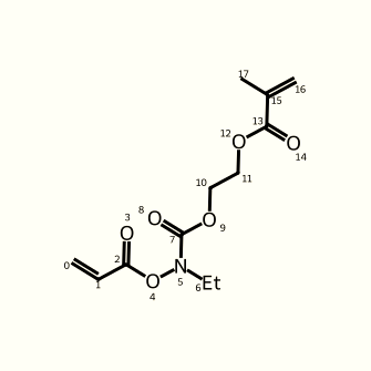 C=CC(=O)ON(CC)C(=O)OCCOC(=O)C(=C)C